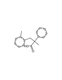 Cc1ccccc1CC(C)(C(=O)O)c1ccccc1